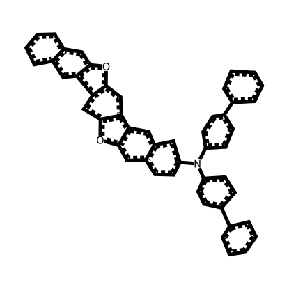 c1ccc(-c2ccc(N(c3ccc(-c4ccccc4)cc3)c3ccc4cc5oc6cc7c(cc6c5cc4c3)oc3cc4ccccc4cc37)cc2)cc1